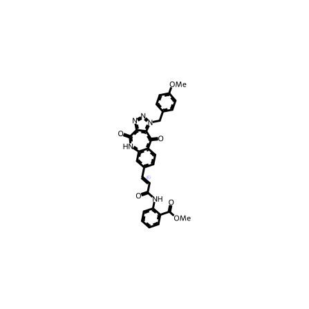 COC(=O)c1ccccc1NC(=O)/C=C/c1ccc2c(=O)c3c(nnn3Cc3ccc(OC)cc3)c(=O)[nH]c2c1